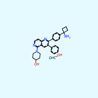 NC1(c2ccc(-c3nc4ccnc(N5CCC(O)CC5)c4cc3-c3ccccc3)cc2)CCC1.O=CO